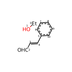 CCO.O=CC=Cc1ccccc1